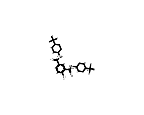 CC(C)(C)C1CCC(NC(=O)c2ccc(Cl)c(C(=O)NC3CCC(C(C)(C)C)CC3)c2)CC1